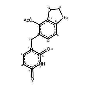 CC(=O)Oc1c(Cn2ccc(=O)[nH]c2=O)ccc2c1OCO2